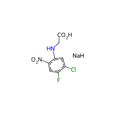 O=C(O)CNc1cc(Cl)c(F)cc1[N+](=O)[O-].[NaH]